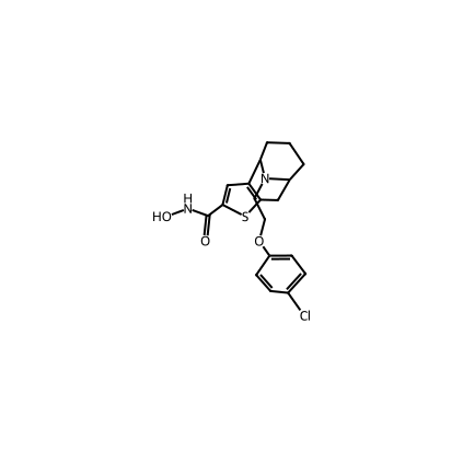 O=C(NO)c1cc2c(s1)CC1CCCC2N1CCOc1ccc(Cl)cc1